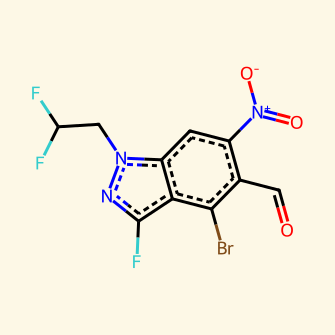 O=Cc1c([N+](=O)[O-])cc2c(c(F)nn2CC(F)F)c1Br